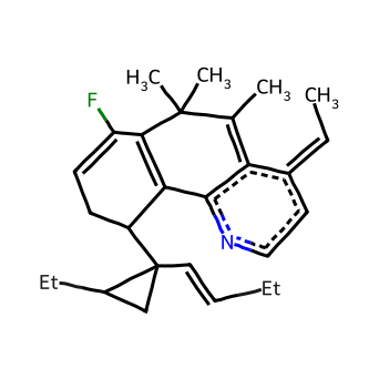 C/C=c1/ccnc2c1=C(C)C(C)(C)C1=C2C(C2(C=CCC)CC2CC)CC=C1F